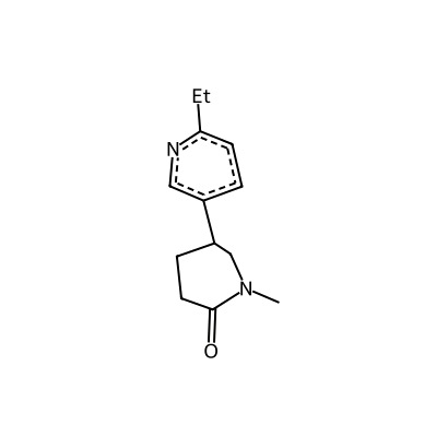 CCc1ccc(C2CCC(=O)N(C)C2)cn1